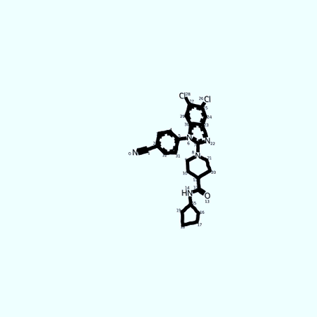 N#Cc1ccc(-n2c(N3CCC(C(=O)NC4CCCC4)CC3)nc3cc(Cl)c(Cl)cc32)cc1